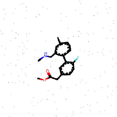 CNCc1cc(C)ccc1-c1cc(CC(=O)OC)ccc1F